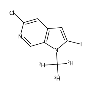 [2H]C([2H])([2H])n1c(I)cc2cc(Cl)ncc21